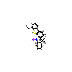 CCc1cccc2c1sc1c(N(I)c3ccccc3C(C)(C)C)cccc12